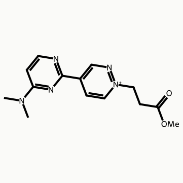 COC(=O)CC[n+]1ccc(-c2nccc(N(C)C)n2)cn1